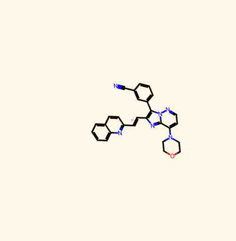 N#Cc1cccc(-c2c(/C=C/c3ccc4ccccc4n3)nc3c(N4CCOCC4)ccnn23)c1